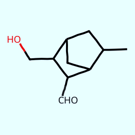 CC1CC2CC1C(C=O)C2CO